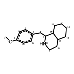 COc1ccc(CC2NCCC3CCCCC32)cc1